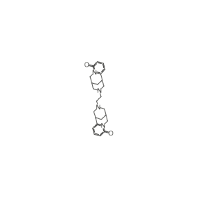 O=c1cccc2n1CC1CC2CN(CCN2CC3CC(C2)c2cccc(=O)n2C3)C1